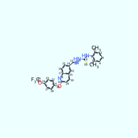 Cc1cccc(C)c1NC(=S)NN=Cc1ccc2nc(Oc3ccc(OC(F)(F)F)cc3)ccc2c1